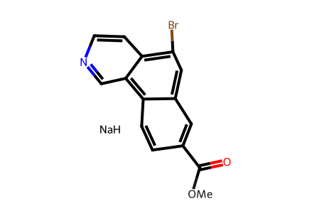 COC(=O)c1ccc2c(c1)cc(Br)c1ccncc12.[NaH]